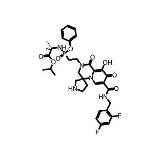 CC(C)OC(=O)[C@H](C)NP(=O)(CCN1CC2(CCNC2)n2cc(C(=O)NCc3ccc(F)cc3F)c(=O)c(O)c2C1=O)Oc1ccccc1